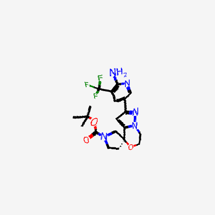 CC(C)(C)OC(=O)N1CC[C@@]2(C1)OCCn1nc(-c3cnc(N)c(C(F)(F)F)c3)cc12